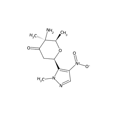 C[C@H]1O[C@@H](c2c([N+](=O)[O-])cnn2C)CC(=O)[C@@]1(C)N